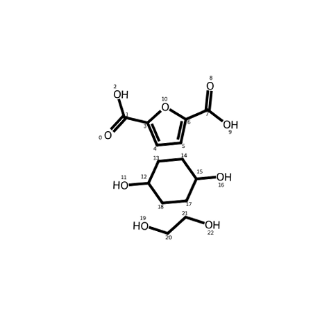 O=C(O)c1ccc(C(=O)O)o1.OC1CCC(O)CC1.OCCO